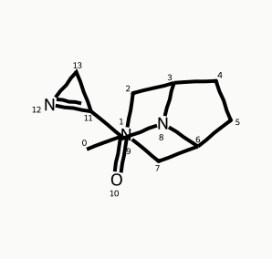 CN1CC2CCC(C1)N2C(=O)C1=NC1